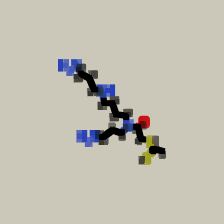 CC(=S)SCC(=O)N(CCCN)CCCCNCCCN